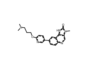 CN(C)CCCOc1ccc(-c2ccc3ncc4c([nH]c(=O)n4C)c3c2)cn1